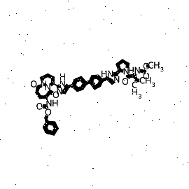 COC(=O)NC(C(=O)N1CCCC1c1ncc(-c2ccc(-c3ccc(-c4cnc([C@@H]5CCCN6C(=O)CC[C@H](NC(=O)OCc7ccccc7)C(=O)N56)[nH]4)cc3)cc2)[nH]1)C(C)C